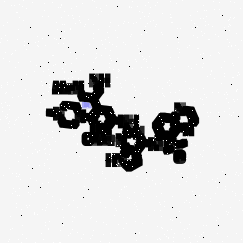 CN/C=C(\C=N)c1cc(Nc2nc(Nc3ccc4nccnc4c3P(C)(C)=O)c3cc[nH]c3n2)c(OC)nc1N1CCN(C)CC1